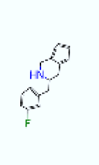 Fc1cccc(CC2Cc3ccccc3CN2)c1